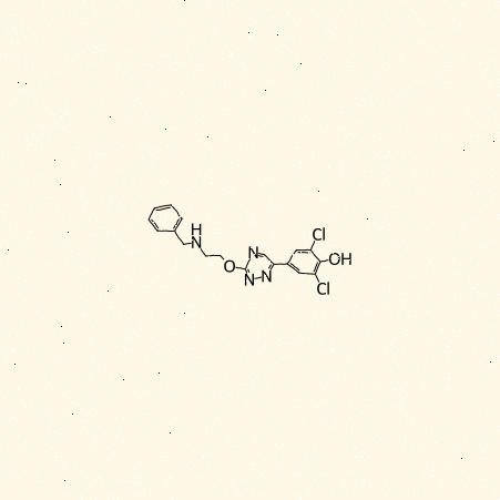 Oc1c(Cl)cc(-c2cnc(OCCNCc3ccccc3)nn2)cc1Cl